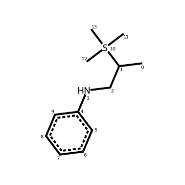 CC(CNc1ccccc1)S(C)(C)C